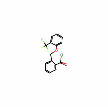 O=C(Cl)c1ccccc1COc1ccccc1C(F)(F)F